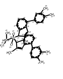 CC1=Cc2c(-c3ccc(C)c(C)c3)cccc2[CH]1[Zr]([Cl])([Cl])([CH]1C(C)=Cc2c(-c3ccc(C)c(C)c3)cccc21)[SiH](C)C